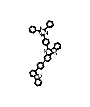 c1ccc(-c2nc(-c3ccccc3)nc(-c3ccc(-c4nc5cc(-c6ccc(-c7cccc8c7oc7ccccc78)cc6)ccc5c5sc6ccccc6c45)cc3)n2)cc1